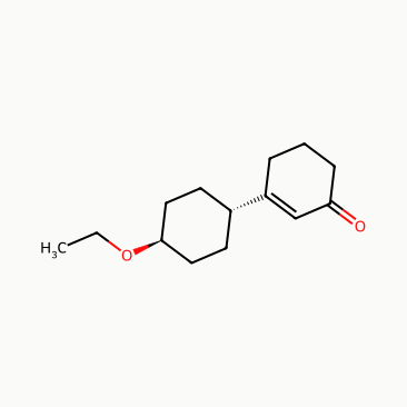 CCO[C@H]1CC[C@H](C2=CC(=O)CCC2)CC1